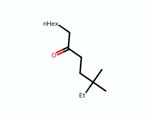 CCCCCCCC(=O)CCC(C)(C)CC